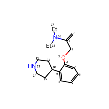 C=C(COc1ccccc1C1CCNCC1)N(CC)CC